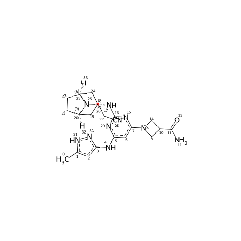 Cc1cc(Nc2cc(N3CC(C(N)=O)C3)nc(N[C@@H]3C[C@H]4CC[C@@H](C3)N4CCC#N)n2)n[nH]1